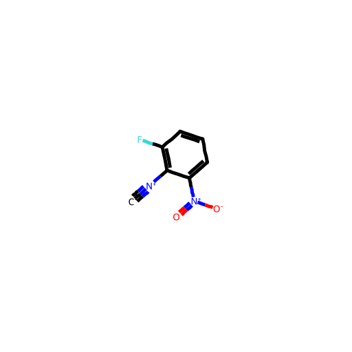 [C-]#[N+]c1c(F)cccc1[N+](=O)[O-]